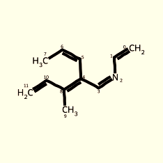 C=C\N=C/C(/C=C\C)=C(\C)C=C